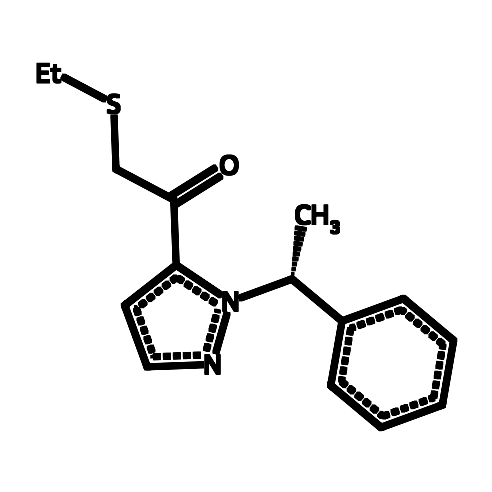 CCSCC(=O)c1ccnn1[C@H](C)c1ccccc1